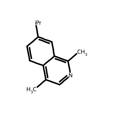 Cc1cnc(C)c2cc(C(C)C)ccc12